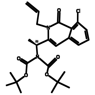 C=CCn1c([C@H](C)N(C(=O)OC(C)(C)C)C(=O)OC(C)(C)C)cc2cccc(Cl)c2c1=O